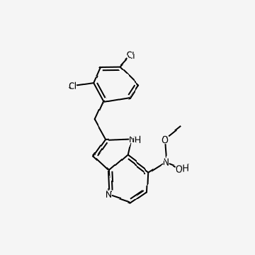 CON(O)c1ccnc2cc(Cc3ccc(Cl)cc3Cl)[nH]c12